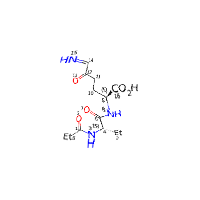 CCC(=O)N[C@@H](CC)C(=O)N[C@@H](CCC(=O)C=N)C(=O)O